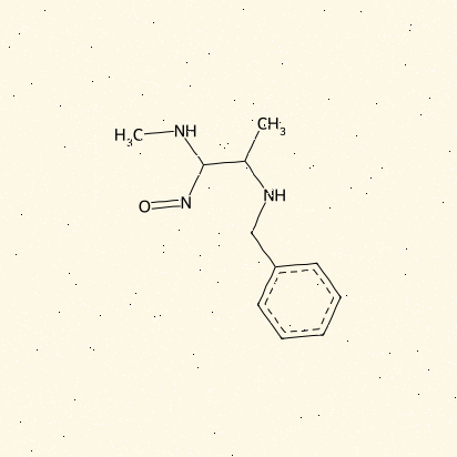 CNC(N=O)C(C)NCc1ccccc1